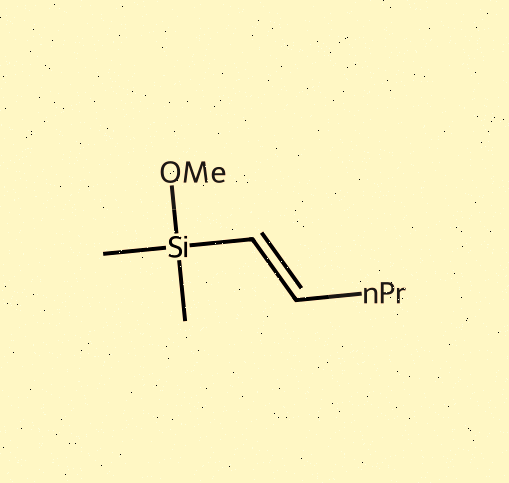 CCCC=C[Si](C)(C)OC